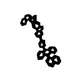 c1ccc2c(-c3c4ccccc4c(-c4ccc(-c5ccc6c(c5)sc5cc7sc8ccc9ccccc9c8c7cc56)cc4)c4ccccc34)cccc2c1